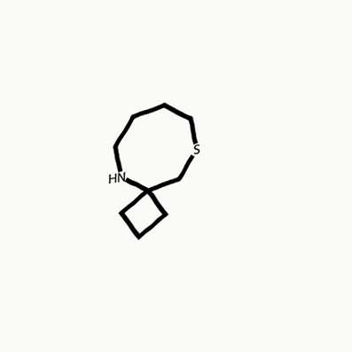 C1CCSCC2(CCC2)NC1